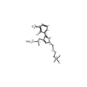 CN(Cc1cn(COCC[Si](C)(C)C)nc1-c1cccc([N+](=O)[O-])c1F)C(=O)O